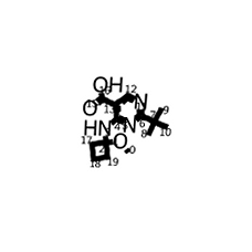 COC1(Nc2nc(C(C)(C)C)ncc2C(=O)O)CCC1